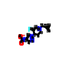 O=[N+]([O-])c1cnn(C2CCN(CC3CC3)CC2F)c1